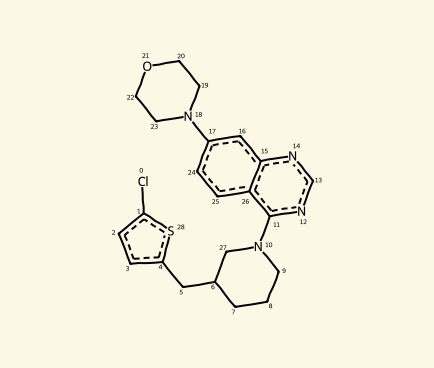 Clc1ccc(CC2CCCN(c3ncnc4cc(N5CCOCC5)ccc34)C2)s1